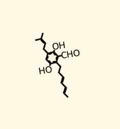 C/C=C/C=C/CCc1c(O)cc(CC=C(C)C)c(O)c1C=O